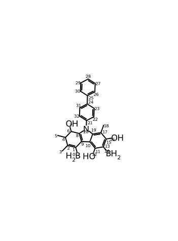 BC1=C(C)C(C)C(O)c2c1c1c(O)c(B)c(O)c(C)c1n2-c1ccc(-c2ccccc2)cc1